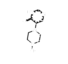 CN1CCN(c2cnc[nH]c2=O)CC1